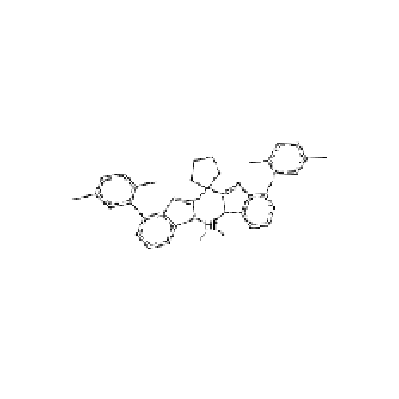 Cc1ccc(C)c(-c2cccc3c2C=C2[CH]3[Hf]([CH3])([CH3])[CH]3C(=Cc4c(-c5cc(C)ccc5C)cccc43)C23CCCC3)c1